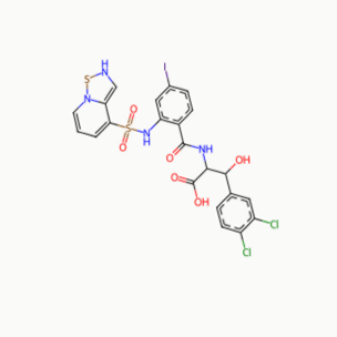 O=C(NC(C(=O)O)C(O)c1ccc(Cl)c(Cl)c1)c1ccc(I)cc1NS(=O)(=O)C1=CC=CN2SNC=C12